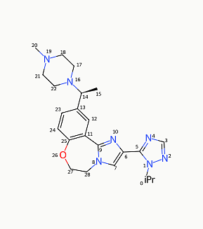 CC(C)n1ncnc1-c1cn2c(n1)-c1cc([C@H](C)N3CCN(C)CC3)ccc1OCC2